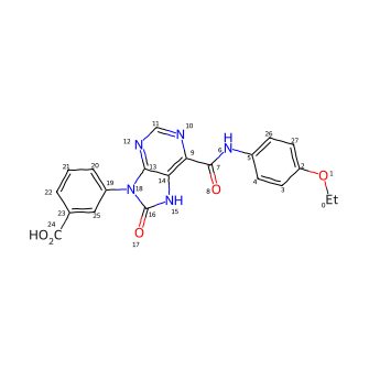 CCOc1ccc(NC(=O)c2ncnc3c2[nH]c(=O)n3-c2cccc(C(=O)O)c2)cc1